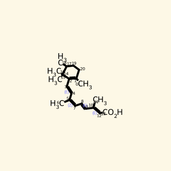 CC1=C(/C=C/C(C)=C\C=C\C(C)=C\C(=O)O)C(C)(C)C(C)CC1